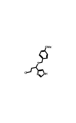 COc1ccc(CSC(CCCl)c2c[nH]cn2)cc1